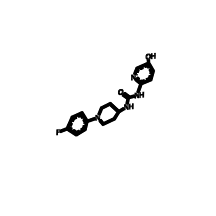 O=C(Nc1ccc(O)cn1)NC1CCN(c2ccc(F)cc2)CC1